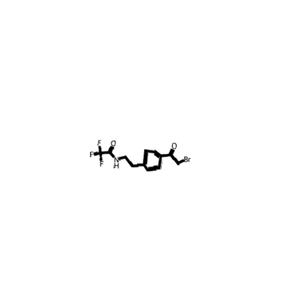 O=C(CBr)c1ccc(CCNC(=O)C(F)(F)F)cc1